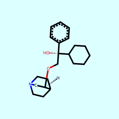 O[C@](CO[C@@H]1CN2CCC1CC2)(c1ccccc1)C1CCCCC1